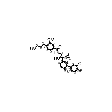 COc1cc(C(=O)NCC(O)(c2ccc(OC)c(-c3ccc(F)c(Cl)c3)n2)C2CC2)ccc1CCCO